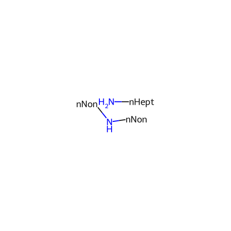 CCCCCCCCCNCCCCCCCCC.CCCCCCCN